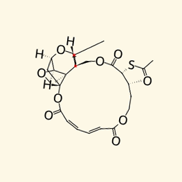 CC(=O)S[C@H]1C(=O)OC[C@]23CCC(C)=C[C@H]2O[C@@H]2C[C@@H](OC(=O)/C=C\C=C\C(=O)OCC[C@H]1C)[C@@]3(C)[C@]21CO1